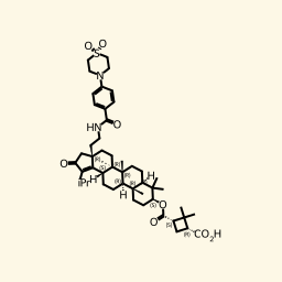 CC(C)C1=C2[C@H]3CC[C@@H]4[C@@]5(C)CC[C@H](OC(=O)[C@H]6C[C@@H](C(=O)O)C6(C)C)C(C)(C)[C@@H]5CC[C@@]4(C)[C@]3(C)CC[C@@]2(CCNC(=O)c2ccc(N3CCS(=O)(=O)CC3)cc2)CC1=O